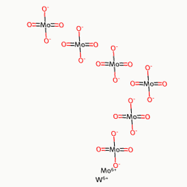 [Mo+6].[O]=[Mo](=[O])([O-])[O-].[O]=[Mo](=[O])([O-])[O-].[O]=[Mo](=[O])([O-])[O-].[O]=[Mo](=[O])([O-])[O-].[O]=[Mo](=[O])([O-])[O-].[O]=[Mo](=[O])([O-])[O-].[W+6]